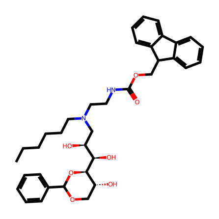 CCCCCCN(CCNC(=O)OCC1c2ccccc2-c2ccccc21)C[C@H](O)[C@@H](O)[C@@H]1OC(c2ccccc2)OC[C@H]1O